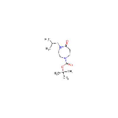 CC(C)CN1CCN(C(=O)OC(C)(C)C)CCC1=O